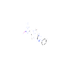 Cc1cccc(-n2ncc(C(C)(O)NC[C@@]3(C4CC4)NC(=O)NC3=O)n2)c1